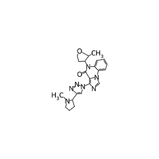 CC1OCCC1n1c(=O)c2c(-n3cc(C4CCCN4C)nn3)ncn2c2ccccc21